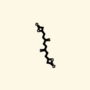 O=C1CC(CCC(=S)CCC(=S)CCC2CC(=O)O2)O1